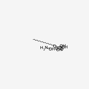 CCCCCCCCCCCCCCCCOCC(COP(=O)(O)O)OO.NCCO